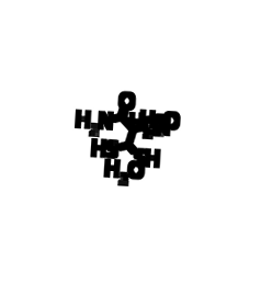 N#CC(C(N)=O)C(S)S.O.O.O